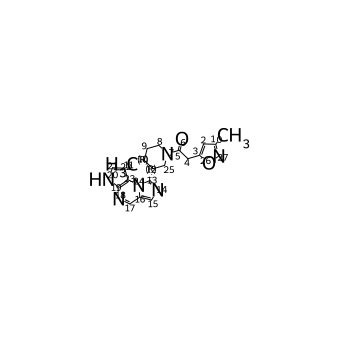 Cc1cc(CC(=O)N2CC[C@@H](C)[C@@H](c3ncc4cnc5[nH]ccc5n34)C2)on1